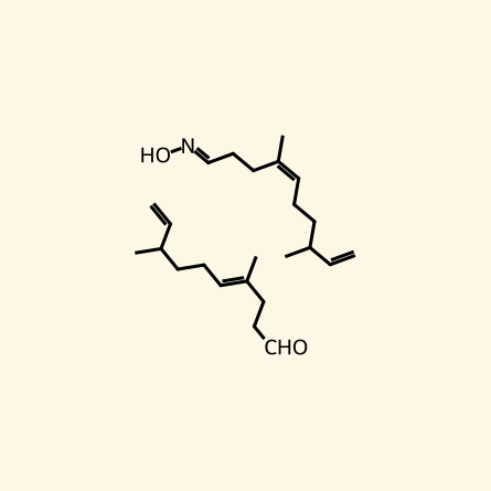 C=CC(C)CCC=C(C)CCC=NO.C=CC(C)CCC=C(C)CCC=O